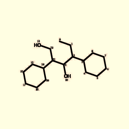 CCC(C1CCCCC1)C(O)C(CO)C1CCCCC1